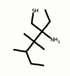 CCC(C)C(C)(C)C(N)(CC)CS